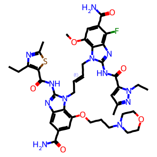 CCc1nc(C)sc1C(=O)Nc1nc2cc(C(N)=O)cc(OCCCN3CCOCC3)c2n1C/C=C/Cn1c(NC(=O)c2cc(C)nn2CC)nc2c(F)c(C(N)=O)cc(OC)c21